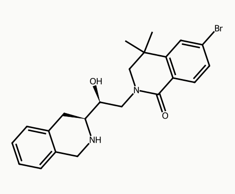 CC1(C)CN(C[C@H](O)[C@@H]2Cc3ccccc3CN2)C(=O)c2ccc(Br)cc21